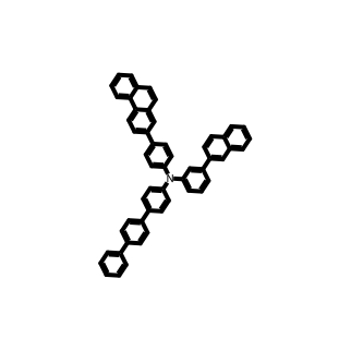 c1ccc(-c2ccc(-c3ccc(N(c4ccc(-c5ccc6c(ccc7ccccc76)c5)cc4)c4cccc(-c5ccc6ccccc6c5)c4)cc3)cc2)cc1